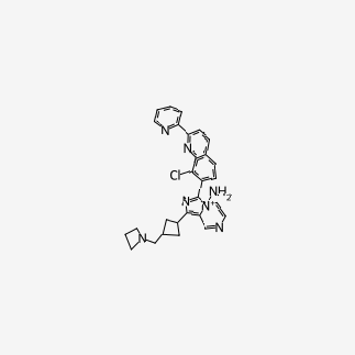 N[N+]12C=CN=CC1=C(C1CC(CN3CCC3)C1)N=C2c1ccc2ccc(-c3ccccn3)nc2c1Cl